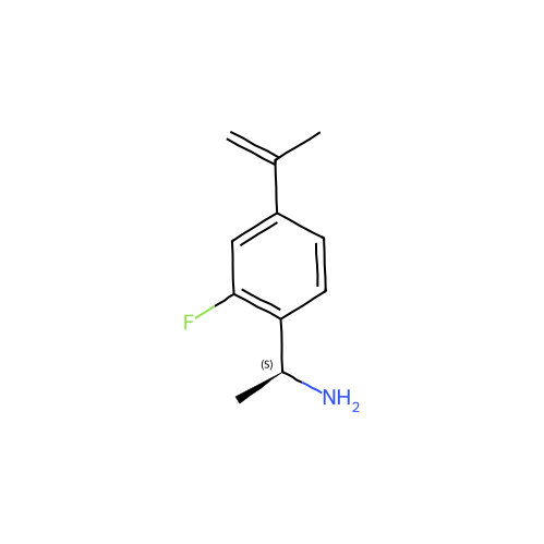 C=C(C)c1ccc([C@H](C)N)c(F)c1